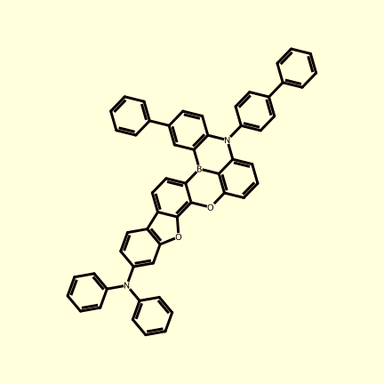 c1ccc(-c2ccc(N3c4ccc(-c5ccccc5)cc4B4c5ccc6c(oc7cc(N(c8ccccc8)c8ccccc8)ccc76)c5Oc5cccc3c54)cc2)cc1